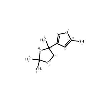 CC1(C)OCC(C)(c2csc(S)c2)O1